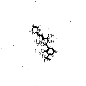 Cc1c(C(=O)NC(C)/C(N)=C/Nc2ncccn2)cccc1C(F)(F)F